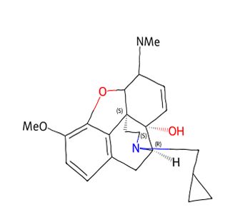 CNC1C=C[C@@]2(O)[C@H]3Cc4ccc(OC)c5c4[C@@]2(CCN3CC2CC2)C1O5